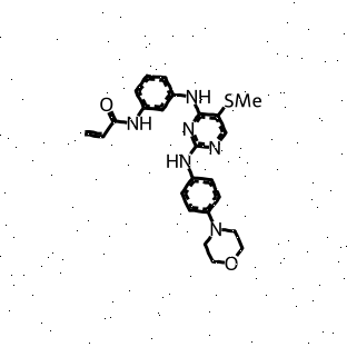 C=CC(=O)Nc1cccc(Nc2nc(Nc3ccc(N4CCOCC4)cc3)ncc2SC)c1